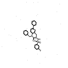 O=C1[C@H](NS(=O)(=O)c2cccc(F)c2)Cc2nc(-c3ccccc3)ccc2N1Cc1ccccc1